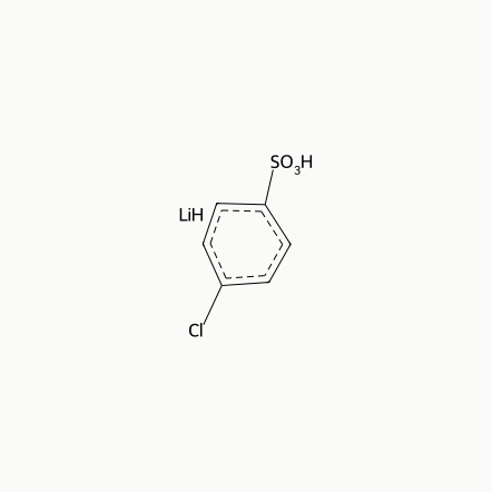 O=S(=O)(O)c1ccc(Cl)cc1.[LiH]